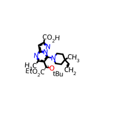 C=CC1(C)CCN(c2c([C@H](OC(C)(C)C)C(=O)OCC)c(C)nc3cc(C(=O)O)nn23)CC1